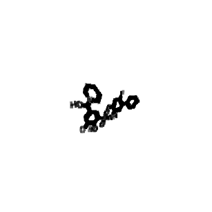 O=S(=O)(Nc1cc(-c2ccccc2)c(F)cc1F)c1cc(C(O)N2CCCCC2)cc(Cl)c1O